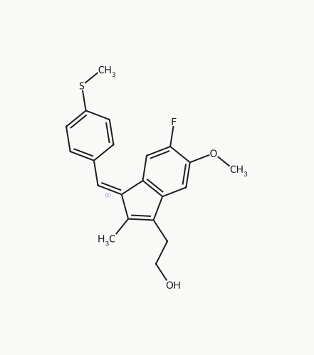 COc1cc2c(cc1F)/C(=C\c1ccc(SC)cc1)C(C)=C2CCO